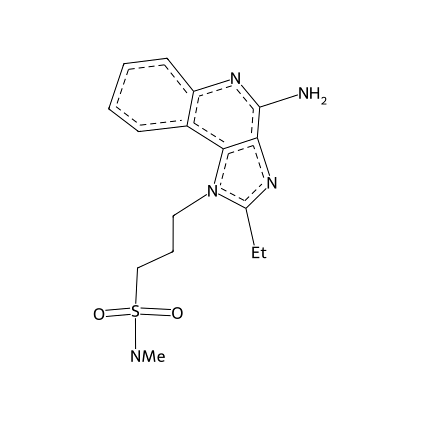 CCc1nc2c(N)nc3ccccc3c2n1CCCS(=O)(=O)NC